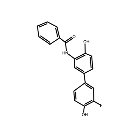 O=C(Nc1cc(-c2ccc(O)c(F)c2)ccc1O)c1ccccc1